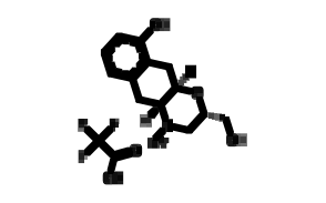 CCCN1C[C@@H](CO)O[C@@H]2Cc3c(O)cccc3C[C@H]21.O=C(O)C(F)(F)F